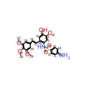 COc1cc(NS(=O)(=O)c2ccc(N)cc2)c(C=Cc2cc(OC)c(OC)c(OC)c2)cc1O